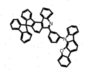 c1cc(-c2nc3ccccc3c3c4c(ccc23)C2(c3ccccc3-c3ccccc32)c2ccccc2-4)cc(-n2c3ccccc3c3ccc4c5ccccc5oc4c32)c1